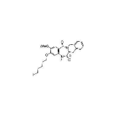 COc1cc2c(cc1OCCCCCI)N(C)C(=O)[C@@H]1Cc3ccccc3CN1C2=O